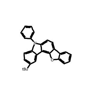 CC(C)(C)c1ccc2c(c1)c1c3oc4ccccc4c3ccc1n2-c1ccccc1